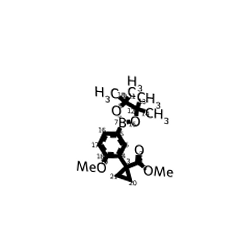 COC(=O)C1(c2cc(B3OC(C)(C)C(C)(C)O3)ccc2OC)CC1